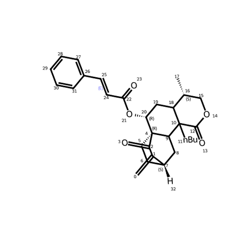 C=C1C(=O)[C@]23CC[C@H]1CC2C1(CCCC)C(=O)OC[C@@H](C)C1C[C@H]3OC(=O)/C=C/c1ccccc1